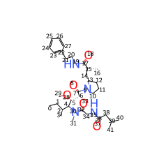 CC[C@H](C)C([C@@H](CC(=O)N1CCC[C@H]1C[C@@H](C)C(=O)NCCc1ccccc1)OC)N(C)C(=O)CNC(=O)CC(C)C